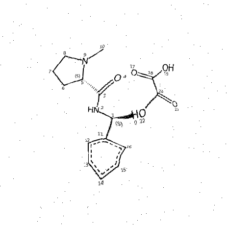 C[C@H](NC(=O)[C@@H]1CCCN1C)c1ccccc1.O=C(O)C(=O)O